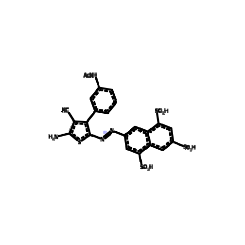 CC(=O)Nc1cccc(-c2c(/N=N/c3cc(S(=O)(=O)O)c4cc(S(=O)(=O)O)cc(S(=O)(=O)O)c4c3)sc(N)c2C#N)c1